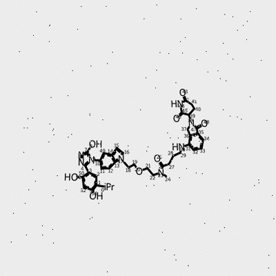 CC(C)c1cc(-c2nnc(O)n2-c2ccc3c(ccn3CCOCCN(C)C(=O)CCCNc3cccc4c3CN(C3CCC(=O)NC3=O)C4=O)c2)c(O)cc1O